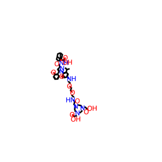 COc1cccc(OC)c1-c1cc(C(=O)NC2(C(=O)O)C3CC4CC(C3)CC2C4)nn1-c1ccc(NCCOCCOCCNC(=O)CN2CCN(CC(=O)O)CCN(CC(=O)O)CC2)cc1C(C)C